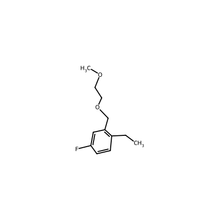 CCc1ccc(F)cc1COCCOC